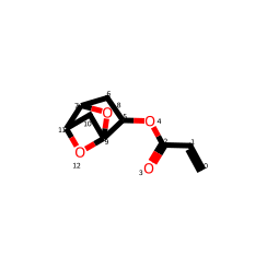 C=CC(=O)OC1CC2OC13CC2O3